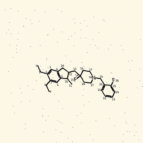 CCc1cc2c(cc1CC)C(C)C(CC1(F)CCN(Cc3ccccc3F)CC1)C2